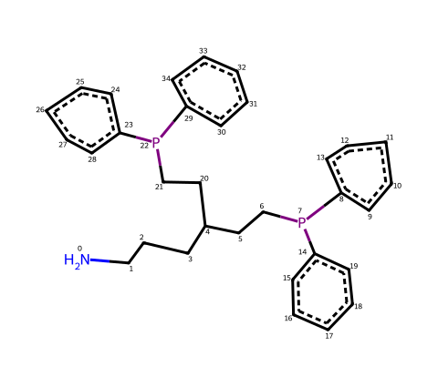 NCCCC(CCP(c1ccccc1)c1ccccc1)CCP(c1ccccc1)c1ccccc1